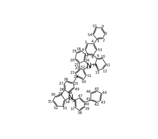 c1ccc(-c2cccc(-c3ccccc3-n3c4ccccc4c4cc(-c5ccc6c7ccccc7n(-c7cccc(-c8ccccc8)c7)c6c5)ccc43)c2)cc1